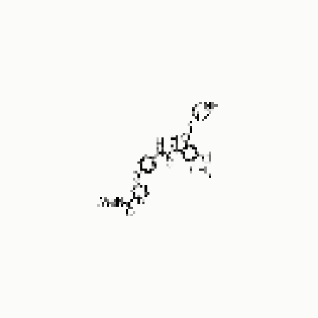 CNC(=O)c1cc(Oc2ccc(NC(=O)Nc3cc(C)c(Cl)cc3OCCN3CCNCC3)cc2)ccn1